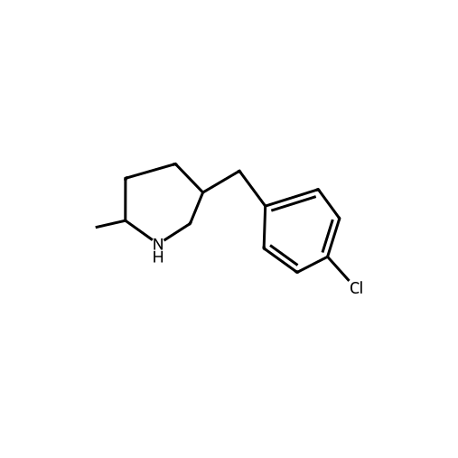 CC1CCC(Cc2ccc(Cl)cc2)CN1